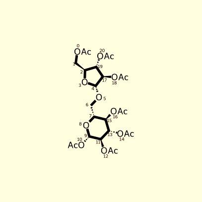 CC(=O)OC[C@@H]1O[C@@H](OC[C@H]2O[C@@H](OC(C)=O)[C@H](OC(C)=O)[C@@H](OC(C)=O)[C@@H]2OC(C)=O)[C@H](OC(C)=O)[C@H]1OC(C)=O